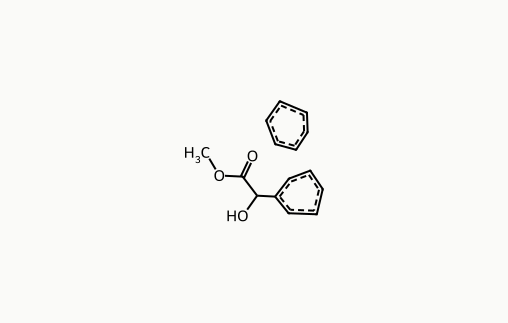 COC(=O)C(O)c1ccccc1.c1ccccc1